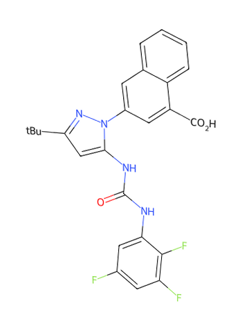 CC(C)(C)c1cc(NC(=O)Nc2cc(F)cc(F)c2F)n(-c2cc(C(=O)O)c3ccccc3c2)n1